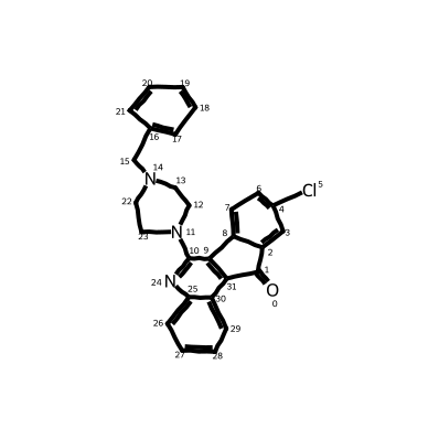 O=C1c2cc(Cl)ccc2-c2c(N3CCN(Cc4ccccc4)CC3)nc3ccccc3c21